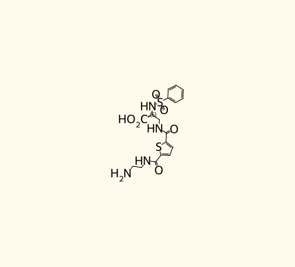 NCCNC(=O)c1ccc(C(=O)NC[C@H](NS(=O)(=O)c2ccccc2)C(=O)O)s1